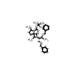 CC(OCc1ccccc1)[C@H](COCc1ccccc1)N1C(=O)C2(CCC(C)N2C(=O)OC(C)(C)C)C1C